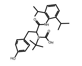 CC(C)c1cccc(C(C)C)c1NC(=O)C(Cc1ccc(O)cc1)N(C(=O)O)C(C)(C)C